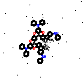 CC1(C)c2cc(Nc3ccccc3)ccc2-c2c1ccc1c2Oc2cc(N(c3ccccc3)c3ccccc3)cc3c2B1c1cc2c(cc1O3)Oc1cc(N(c3ccccc3)c3ccccc3)cc3c1B2c1ccc2c(c1O3)-c1ccc(Nc3ccccc3)cc1C2(C)C